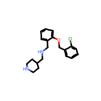 Clc1ccccc1COc1ccccc1CNCC1CCNCC1